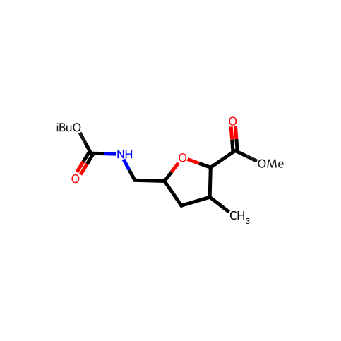 COC(=O)C1OC(CNC(=O)OCC(C)C)CC1C